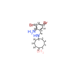 BC1CCCCC(NCc2cc(Br)cc(Br)c2N)CCC1